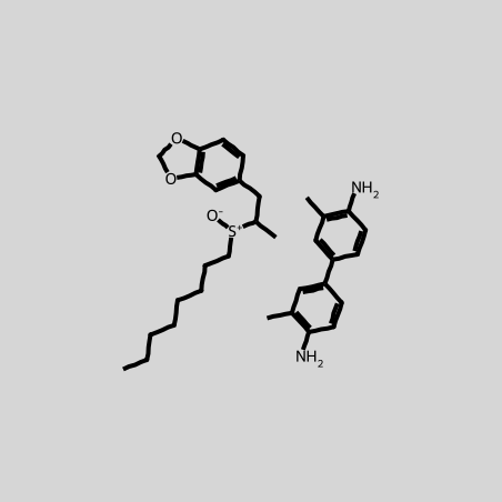 CCCCCCCC[S+]([O-])C(C)Cc1ccc2c(c1)OCO2.Cc1cc(-c2ccc(N)c(C)c2)ccc1N